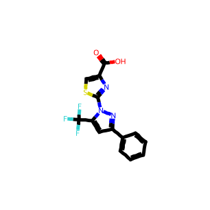 O=C(O)c1csc(-n2nc(-c3ccccc3)cc2C(F)(F)F)n1